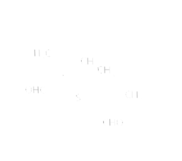 CC(C)(C=O)SC(C)(C)C=O